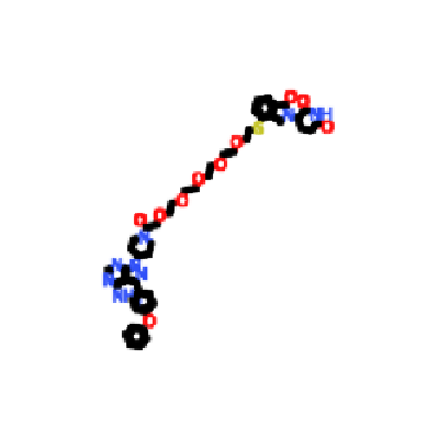 Nc1ncnc2c1c(-c1ccc(Oc3ccccc3)cc1)nn2C1CCN(C(=O)COCCOCCOCCOCCOCCSc2cccc3c2CN(C2CCC(=O)NC2=O)C3=O)CC1